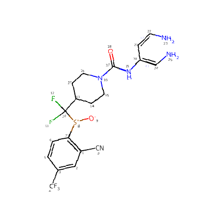 N#Cc1cc(C(F)(F)F)ccc1[S+]([O-])C(F)(F)C1CCN(C(=O)NC(/C=C\N)=C/N)CC1